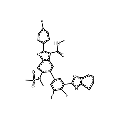 CNC(=O)c1c(-c2ccc(F)cc2)oc2cc(N(C)S(C)(=O)=O)c(-c3cc(F)c(F)c(-c4nc5ccccc5o4)c3)cc12